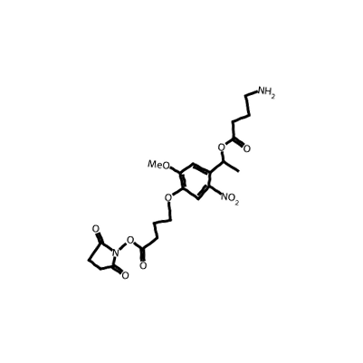 COc1cc(C(C)OC(=O)CCCN)c([N+](=O)[O-])cc1OCCCC(=O)ON1C(=O)CCC1=O